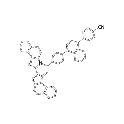 N#Cc1ccc(-c2ccc(-c3ccc(-c4cc5c(sc6ccc7ccccc7c65)c5nc6c7ccccc7ccc6n45)cc3)c3ccccc23)cc1